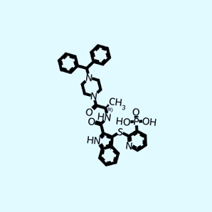 C[C@@H](NC(=O)c1[nH]c2ccccc2c1Sc1ncccc1P(=O)(O)O)C(=O)N1CCN(C(c2ccccc2)c2ccccc2)CC1